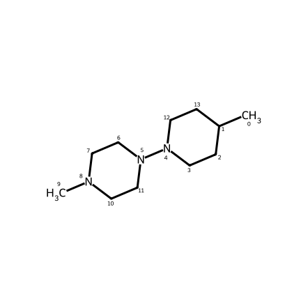 CC1CCN(N2CCN(C)CC2)CC1